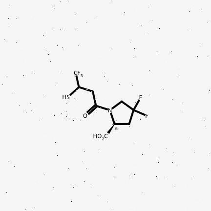 O=C(O)[C@@H]1CC(F)(F)CN1C(=O)CC(S)C(F)(F)F